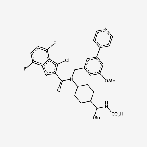 COc1cc(CN(C(=O)c2sc3c(F)ccc(F)c3c2Cl)C2CCC(C(NC(=O)O)C(C)(C)C)CC2)cc(-c2ccncc2)c1